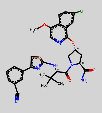 COc1cnc(O[C@@H]2C[C@@H](C(N)=O)N(C(=O)[C@@H](Nc3nc(-c4cccc(C#N)c4)cs3)C(C)(C)C)C2)c2cc(Cl)ccc12